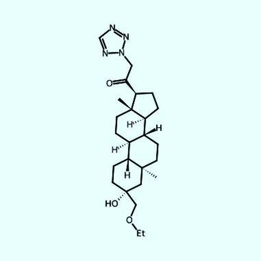 CCOC[C@@]1(O)CC[C@@H]2[C@H]3CC[C@]4(C)[C@@H](C(=O)Cn5ncnn5)CC[C@H]4[C@@H]3CC[C@@]2(C)C1